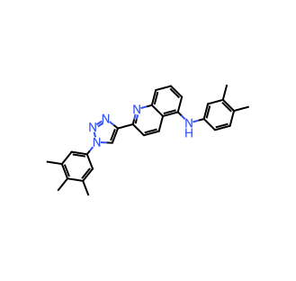 Cc1ccc(Nc2cccc3nc(-c4cn(-c5cc(C)c(C)c(C)c5)nn4)ccc23)cc1C